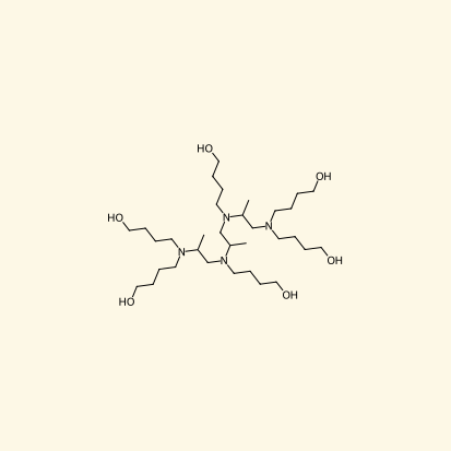 CC(CN(CCCCO)C(C)CN(CCCCO)C(C)CN(CCCCO)CCCCO)N(CCCCO)CCCCO